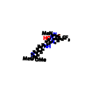 CNc1nc(N(C)[C@H]2C[C@@H](NCc3ccc(-c4cnc(OC)c(OC)c4)cc3)C[C@H]2O)c2cc(CC(F)(F)F)sc2n1